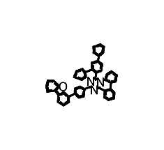 c1ccc(-c2ccc(-c3nc(-c4ccc(-c5cccc6c5oc5ccccc56)cc4)nc(-c4ccccc4-c4ccccc4)n3)c(-c3ccccc3)c2)cc1